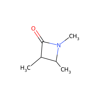 CC1C(=O)N(C)C1C